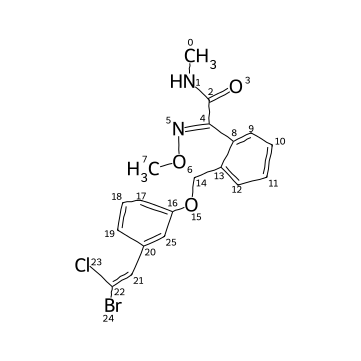 CNC(=O)/C(=N/OC)c1ccccc1COc1cccc(/C=C(\Cl)Br)c1